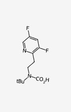 CC(C)(C)N(CCc1ncc(F)cc1F)C(=O)O